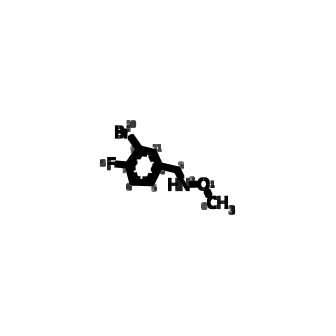 CONCc1ccc(F)c(Br)c1